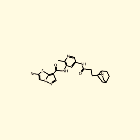 Cc1ncc(NC(=O)CCN2CC3CCC2CC3)cc1NC(=O)c1cnn2cc(Br)sc12